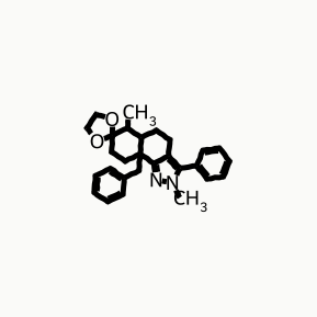 CC1C2CCc3c(nn(C)c3-c3ccccc3)C2(Cc2ccccc2)CCC12OCCO2